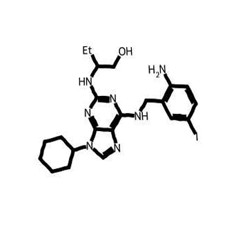 CCC(CO)Nc1nc(NCc2cc(I)ccc2N)c2ncn(C3CCCCC3)c2n1